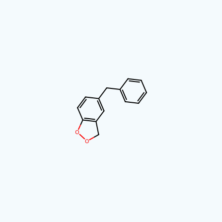 c1ccc(Cc2ccc3c(c2)COO3)cc1